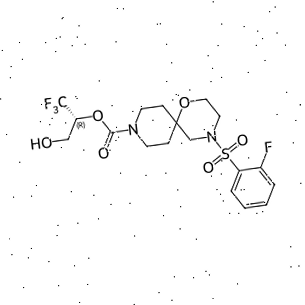 O=C(O[C@H](CO)C(F)(F)F)N1CCC2(CC1)CN(S(=O)(=O)c1ccccc1F)CCO2